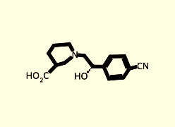 N#Cc1ccc([C@H](O)CN2CCCC(C(=O)O)C2)cc1